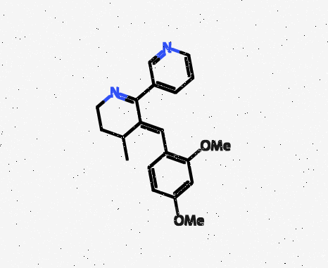 COc1ccc(C=C2C(c3cccnc3)=NCCC2C)c(OC)c1